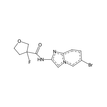 O=C(Nc1cn2cc(Br)ccc2n1)C1(F)CCOC1